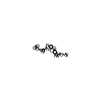 Cc1nc2ccc(Oc3ccc4ncc(-c5cnn(CCOS(C)(=O)=O)c5)nc4c3Cl)cc2n1COCC[Si](C)(C)C